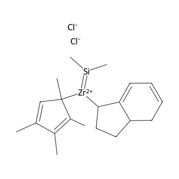 CC1=C[C](C)([Zr+2]([CH]2CCC3CC=CC=C32)=[Si](C)C)C(C)=C1C.[Cl-].[Cl-]